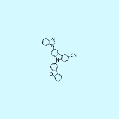 N#Cc1ccc2c(c1)c1cc(-n3cnc4ccccc43)ccc1n2-c1ccc2oc3ccccc3c2c1